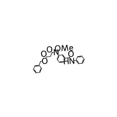 CON(C(=O)CC(=O)OCc1ccccc1)c1cccc(C(=O)Nc2ccccc2)c1